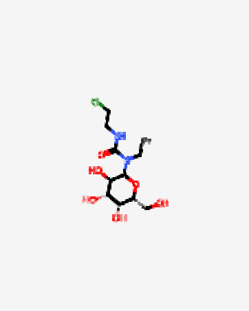 CC(C)CN(C(=O)NCCCl)C1O[C@H](CO)[C@H](O)[C@H](O)[C@H]1O